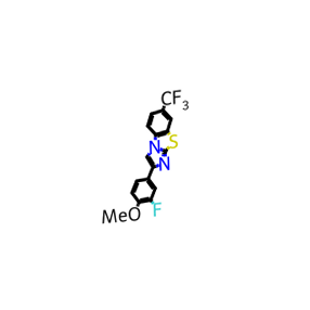 COc1ccc(-c2cn3c(n2)sc2cc(C(F)(F)F)ccc23)cc1F